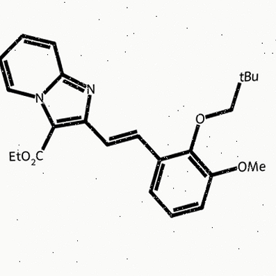 CCOC(=O)c1c(C=Cc2cccc(OC)c2OCC(C)(C)C)nc2ccccn12